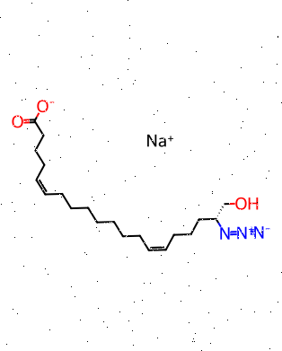 [N-]=[N+]=N[C@@H](CO)CCC/C=C\CCCCCCC/C=C\CCCC(=O)[O-].[Na+]